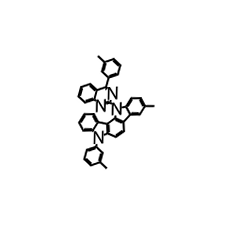 Cc1cccc(-c2nc(-n3c4ccc(C)cc4c4ccc5c(c6ccccc6n5-c5cccc(C)c5)c43)nc3ccccc23)c1